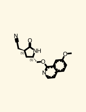 COc1ccc2ccnc(OC[C@@H]3C[C@@H](CC#N)C(=O)N3)c2c1